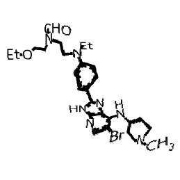 CCOCCN(C=O)CCN(CC)c1ccc(-c2nc3c(NC4CCN(C)CC4)c(Br)cnc3[nH]2)cc1